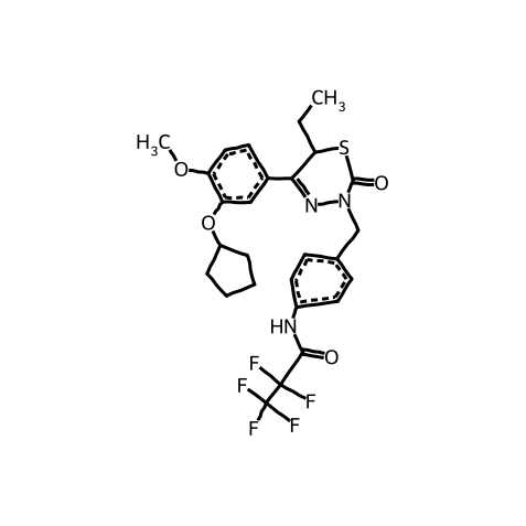 CCC1SC(=O)N(Cc2ccc(NC(=O)C(F)(F)C(F)(F)F)cc2)N=C1c1ccc(OC)c(OC2CCCC2)c1